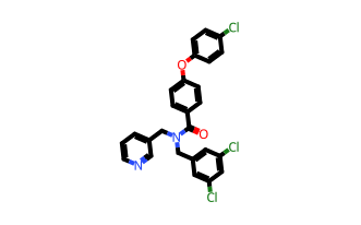 O=C(c1ccc(Oc2ccc(Cl)cc2)cc1)N(Cc1cccnc1)Cc1cc(Cl)cc(Cl)c1